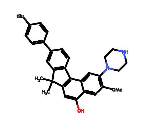 COc1cc2c(O)cc3c(c2cc1N1CCNCC1)-c1ccc(-c2ccc(C(C)(C)C)cc2)cc1C3(C)C